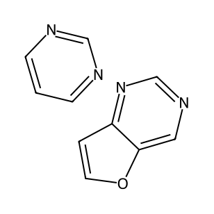 c1cncnc1.c1ncc2occc2n1